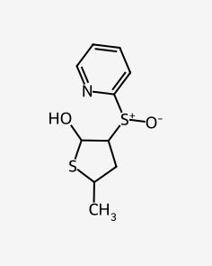 CC1CC([S+]([O-])c2ccccn2)C(O)S1